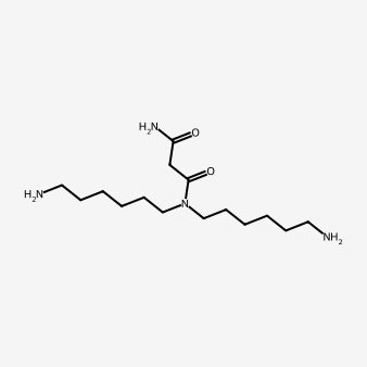 NCCCCCCN(CCCCCCN)C(=O)CC(N)=O